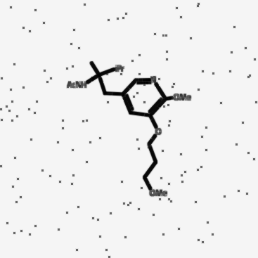 COCCCOc1cc(CC(C)(NC(C)=O)C(C)C)cnc1OC